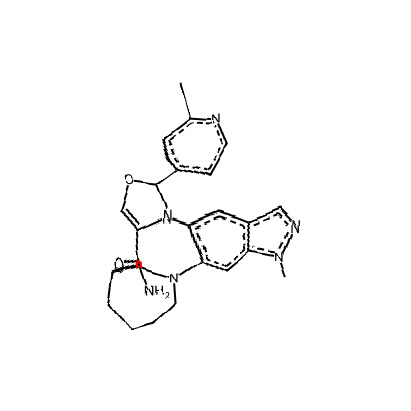 Cc1cc(C2OC=C(C(N)=O)N2c2cc3cnn(C)c3cc2N2CCCCCC2)ccn1